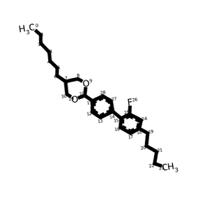 CCCCCCCC1COC(c2ccc(-c3ccc(CCCCC)cc3F)cc2)OC1